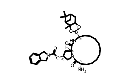 CC1(C)C2CC3OB([C@@H]4CCCCCCCCC[C@H](N)C(=O)N5C[C@H](OC(=O)N6Cc7ccccc7C6)C[C@H]5C(=O)N4)OC3(C)C1C2